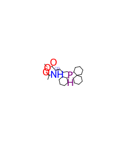 COC(=O)/C(=C/CC[PH]1(C2CCCCC2)C2CCCCC23CCCCC31)NC(C)=O